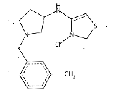 Cc1cccc(CN2CCC(NC3=CS[CH]N3Cl)C2)c1